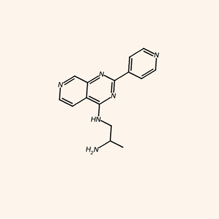 CC(N)CNc1nc(-c2ccncc2)nc2cnccc12